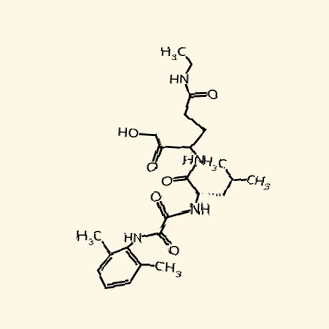 CCNC(=O)CCC(NC(=O)[C@H](CC(C)C)NC(=O)C(=O)Nc1c(C)cccc1C)C(=O)CO